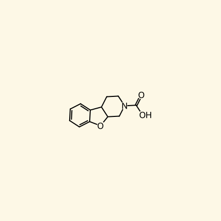 O=C(O)N1CCC2c3ccccc3OC2C1